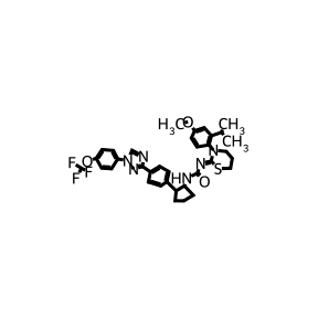 COc1ccc(N2CCCS/C2=N\C(=O)NC2CCCC2c2ccc(-c3ncn(-c4ccc(OC(F)(F)F)cc4)n3)cc2)c(C(C)C)c1